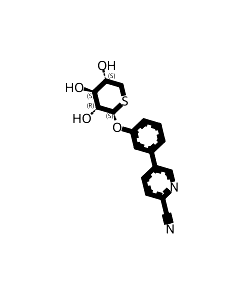 N#Cc1ccc(-c2cccc(O[C@H]3SC[C@@H](O)[C@H](O)[C@H]3O)c2)cn1